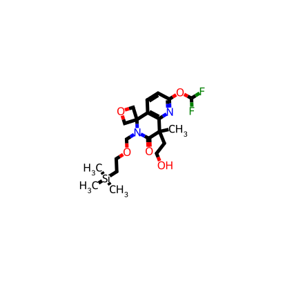 CC1(CCO)C(=O)N(COCC[Si](C)(C)C)C2(COC2)c2ccc(OC(F)F)nc21